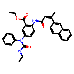 CCNC(=O)N(c1ccccc1)c1ccc(NC(=O)/C=C(/C)c2ccc3ccccc3c2)c(C(=O)OCC)c1